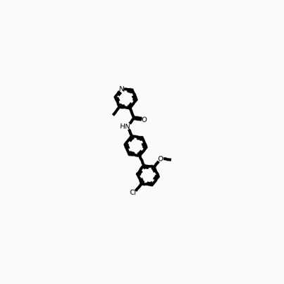 COc1ccc(Cl)cc1-c1ccc(NC(=O)c2ccncc2C)cc1